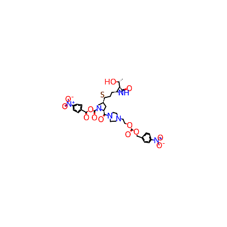 C[C@@H](O)[C@H]1C(=O)N[C@H]1CCC(=S)[C@H]1C[C@@H](C(=O)N2CCN(CCOC(=O)OCc3ccc([N+](=O)[O-])cc3)CC2)N(C(=O)OC(=O)c2ccc([N+](=O)[O-])cc2)C1